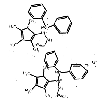 CCCCC[NH][Hf+]([C]1=C(C)C(C)=C(C)C1C)[SiH](c1ccccc1)c1ccccc1.CCCCC[NH][Hf+]([C]1=C(C)C(C)=C(C)C1C)[SiH](c1ccccc1)c1ccccc1.[Cl-].[Cl-]